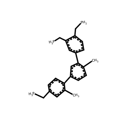 Cc1cc(CP)ccc1-c1ccc(C)c(-c2ccc(CP)c(CP)c2)c1